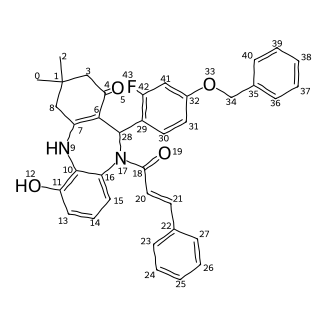 CC1(C)CC(=O)C2=C(C1)Nc1c(O)cccc1N(C(=O)/C=C/c1ccccc1)C2c1ccc(OCc2ccccc2)cc1F